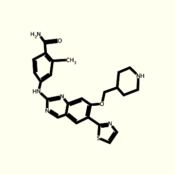 Cc1cc(Nc2ncc3cc(-c4nccs4)c(OCC4CCNCC4)cc3n2)ccc1C(N)=O